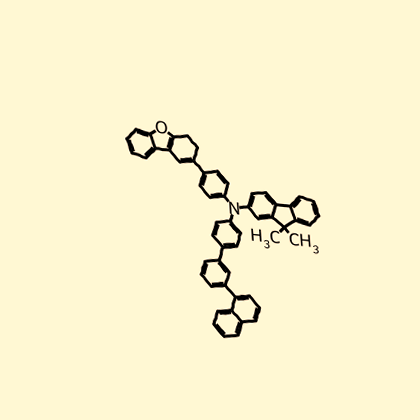 CC1(C)c2ccccc2-c2ccc(N(c3ccc(C4=Cc5c(oc6ccccc56)CC4)cc3)c3ccc(-c4cccc(-c5cccc6ccccc56)c4)cc3)cc21